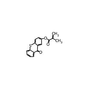 C=C(C)C(=O)Oc1ccc2sc3ccccc3c(=O)c2c1